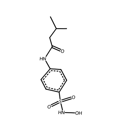 CC(C)CC(=O)Nc1ccc(S(=O)(=O)NO)cc1